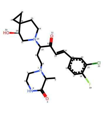 CC1C(=O)NCCN1CCC(C(=O)/C=C/c1ccc(F)c(Cl)c1)N1CCC2(CC2)[C@H](O)C1